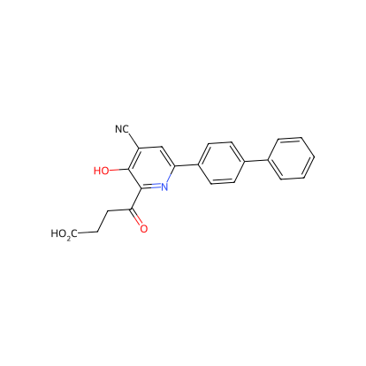 N#Cc1cc(-c2ccc(-c3ccccc3)cc2)nc(C(=O)CCC(=O)O)c1O